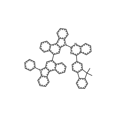 CC1(C)c2ccccc2-c2ccc(-c3nc(-n4c5ccccc5c5c6ccccc6c(-c6cc7c(c8ccccc68)c6ccccc6n7-c6ccccc6)cc54)nc4ccccc34)cc21